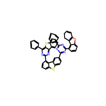 C1=Cc2oc3cccc(-c4nc(-c5ccccc5)nc(-c5ccc6sc7cccc(-c8nc(-c9ccccc9)c9sc%10ccccc%10c9n8)c7c6c5)n4)c3c2CC1